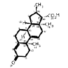 C[C@@H]1C[C@H]2[C@@H]3CCC4=CC(=O)CC[C@]4(C)C3=CC[C@]2(C)[C@H]1C(=O)O